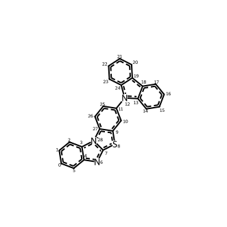 c1ccc2c(c1)nc1sc3cc(-n4c5ccccc5c5ccccc54)ccc3n12